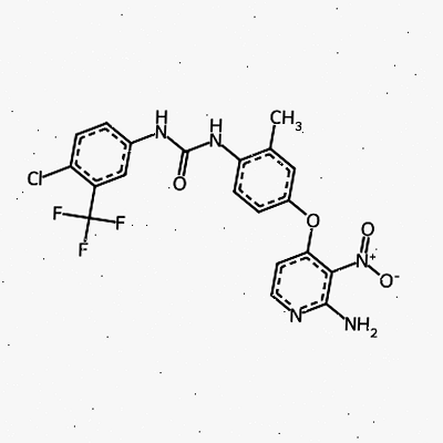 Cc1cc(Oc2ccnc(N)c2[N+](=O)[O-])ccc1NC(=O)Nc1ccc(Cl)c(C(F)(F)F)c1